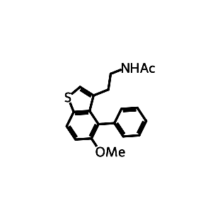 COc1ccc2scc(CCNC(C)=O)c2c1-c1ccccc1